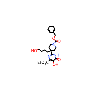 CCOC(=O)c1nc(C2(CCCCO)CCN(C(=O)OCc3ccccc3)CC2)[nH]c(=O)c1O